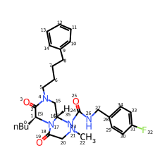 CCCC[C@H]1C(=O)N(CCCCc2ccccc2)C[C@H]2N1C(=O)CN(C)N2C(=O)NCc1ccc(F)cc1